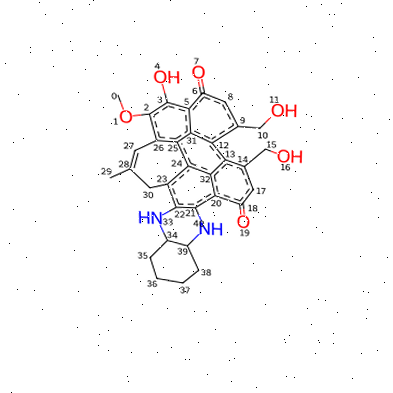 COc1c(O)c2c(=O)cc(CO)c3c4c(CO)cc(=O)c5c6c(c7c(c(c1C=C(C)C7)c23)c54)NC1CCCCC1N6